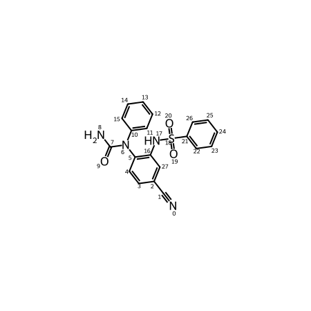 N#Cc1ccc(N(C(N)=O)c2ccccc2)c(NS(=O)(=O)c2ccccc2)c1